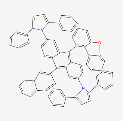 c1ccc(-c2ccc(-c3ccccc3)n2-c2ccc3c(-c4cccc5oc6ccccc6c45)c4cc(-n5c(-c6ccccc6)ccc5-c5ccccc5)ccc4c(-c4ccc5ccccc5c4)c3c2)cc1